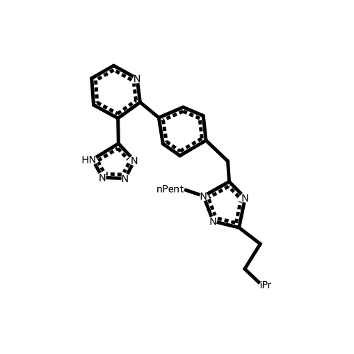 CCCCCn1nc(CCC(C)C)nc1Cc1ccc(-c2ncccc2-c2nnn[nH]2)cc1